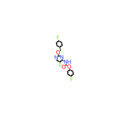 O=C(Nc1nc(OCc2ccc(F)cc2)ncc1F)Oc1ccc(F)cc1